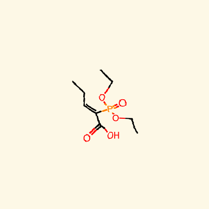 CCC=C(C(=O)O)P(=O)(OCC)OCC